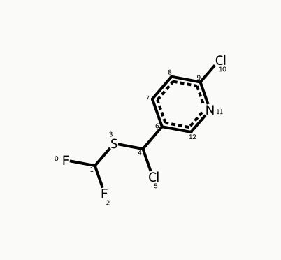 FC(F)SC(Cl)c1ccc(Cl)nc1